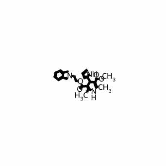 COC(=O)C1=C(C)NC(C)=C(C(=O)OCCN2Cc3ccccc3C2)C1c1ccc[nH]1